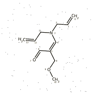 C=CCN(C=C(C=O)COC)CC=C